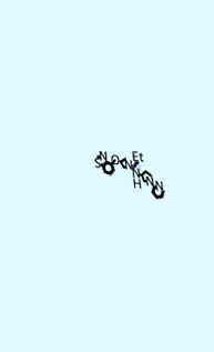 CC/C=C(/NC1CCN(c2ccccn2)C1)N1CC(Oc2cccc3scnc23)C1